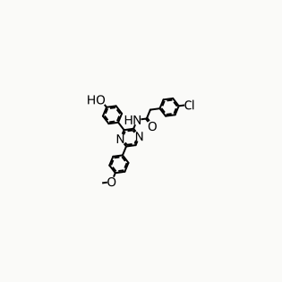 COc1ccc(-c2cnc(NC(=O)Cc3ccc(Cl)cc3)c(-c3ccc(O)cc3)n2)cc1